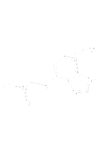 CCCN(CCC)CCc1ccc(OC)c2[nH]cnc12